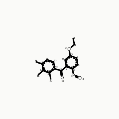 CCOc1ccc(P=O)c(C(=O)c2ccc(C)c(C)c2C)c1